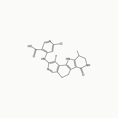 CC1CNC(=O)c2c1[nH]c1c2CCc2cnc(Nc3cc(Cl)ncc3C(=O)O)c(F)c2-1